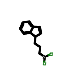 [Cl][Zr]([Cl])[CH2]CCC1C=Cc2ccccc21